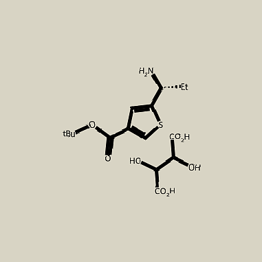 CC[C@@H](N)c1cc(C(=O)OC(C)(C)C)cs1.O=C(O)C(O)C(O)C(=O)O